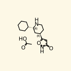 CC(=O)O.O=c1cc([C@@H]2CCN[C@@H](C3CCCCC3)C2)o[nH]1